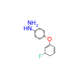 NNc1ccc(OC2=CC(F)CC=C2)cc1